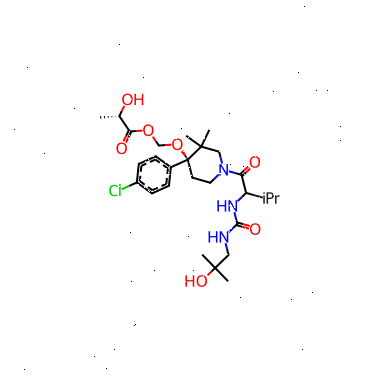 CC(C)C(NC(=O)NCC(C)(C)O)C(=O)N1CC[C@](OCOC(=O)[C@H](C)O)(c2ccc(Cl)cc2)C(C)(C)C1